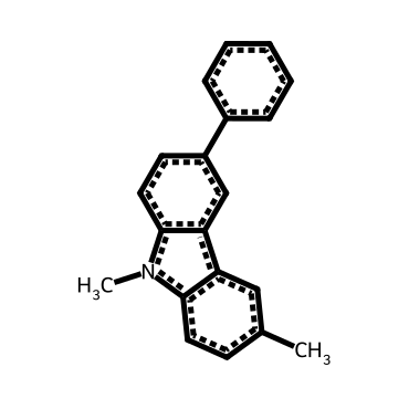 Cc1ccc2c(c1)c1cc(-c3ccccc3)ccc1n2C